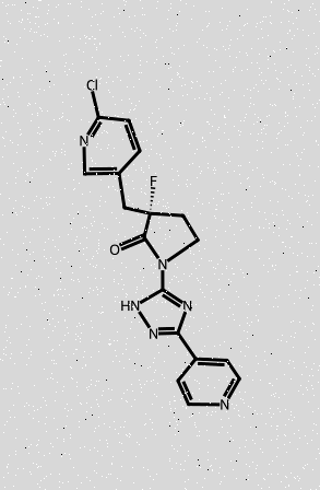 O=C1N(c2nc(-c3ccncc3)n[nH]2)CC[C@]1(F)Cc1ccc(Cl)nc1